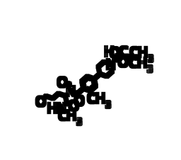 CNC(=O)C(CCC=O)N(C=O)C(=O)c1ccc(C2CCN(C(=O)OC(C)(C)C)CC2)cc1C